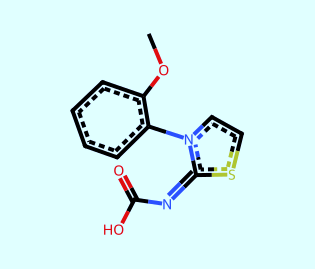 COc1ccccc1-n1ccs/c1=N/C(=O)O